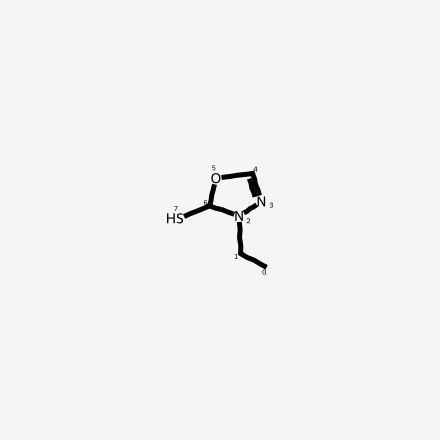 CCN1N=COC1S